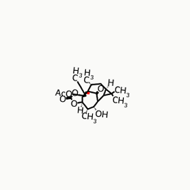 CC(=O)OC1C(C)=C[C@@]23C(=O)C(C4[C@@H](C[C@H]2C)C4(C)C)[C@H](O)[C@H](C)[C@H]2OC(=O)O[C@]123